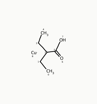 CCC(CC)C(=O)O.[Cu]